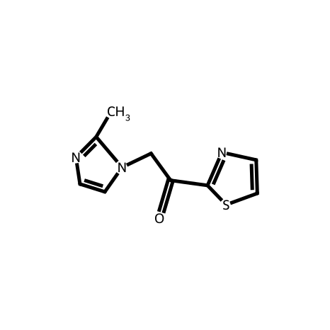 Cc1nccn1CC(=O)c1nccs1